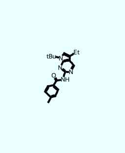 CCc1cn(C(C)(C)C)c2nc(NC(=O)c3ccc(C)cc3)ncc12